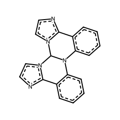 c1ccc2c(c1)-c1nccn1C1N2c2ccccc2-c2nccn21